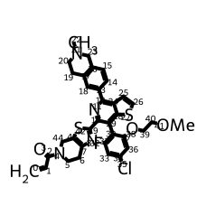 C=CC(=O)N1CCc2nc(-c3nc(-c4ccc5c(c4)CCN(C)C5)c4ccsc4c3-c3c(F)cc(Cl)cc3OCCOC)sc2C1